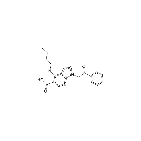 CCCCNc1c(C(=O)O)cnc2c1cnn2CC(Cl)c1ccccc1